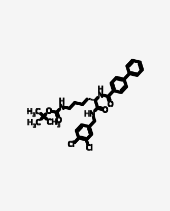 CC(C)(C)OC(=O)NCCCC[C@H](NC(=O)c1ccc(-c2ccccc2)cc1)C(=O)NCc1ccc(Cl)c(Cl)c1